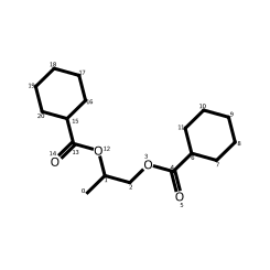 CC(COC(=O)C1CCCCC1)OC(=O)C1CCCCC1